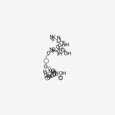 Cc1ncsc1-c1ccc([C@H](C)NC(=O)[C@@H]2C[C@@H](O)CN2C(=O)[C@@H](c2cc(OCCC3CCC(OC4CC(Oc5cc(N6C7CC[C@@H]6CN(c6cc(-c8ccccc8O)nnc6N)C7)ccn5)C4)CC3)no2)C(C)C)cn1